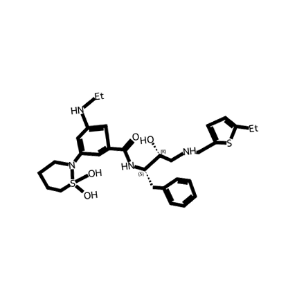 CCNc1cc(C(=O)N[C@@H](Cc2ccccc2)[C@H](O)CNCc2ccc(CC)s2)cc(N2CCCCS2(O)O)c1